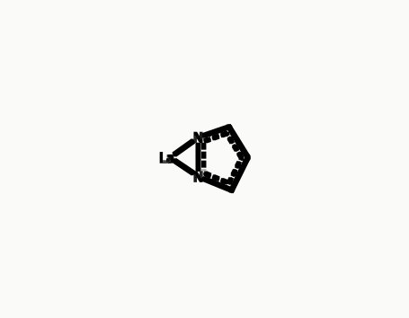 c1c[n]2[n+](c1)[La]2